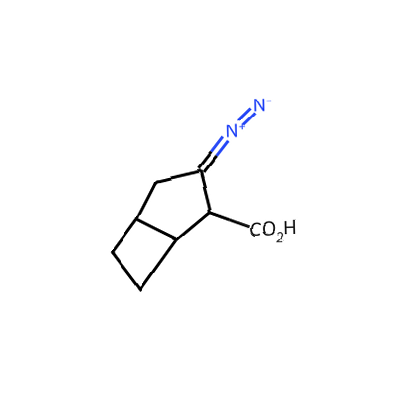 [N-]=[N+]=C1CC2CCC2C1C(=O)O